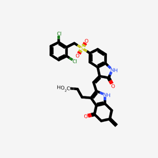 C=C1CC(=O)c2c([nH]c(/C=C3\C(=O)Nc4ccc(S(=O)(=O)Cc5c(Cl)cccc5Cl)cc43)c2CCC(=O)O)C1